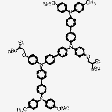 CCCCC(CC)COc1ccc(N(c2ccc(-c3ccc(N(c4ccc(C)cc4)c4ccc(OC)cc4)cc3)cc2)c2ccc(-c3ccc(N(c4ccc(OCC(CC)CCCC)cc4)c4ccc(-c5ccc(N(c6ccc(C)cc6)c6ccc(OC)cc6)cc5)cc4)cc3)cc2)cc1